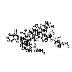 CC(C)[C@H](NC(=O)[C@H](Cc1c[nH]cn1)NC(=O)[C@@H](NC(=O)[C@@H](N)CCCNC(=N)N)C(C)C)C(=O)N[C@H](C(=O)N[C@H](C(=O)N[C@@H](Cc1c[nH]c2ccccc12)C(=O)N[C@@H](CCCCN)C(=O)O)C(C)C)C(C)C